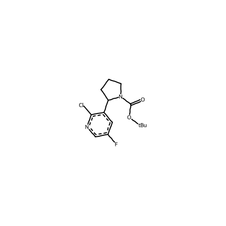 CC(C)(C)OC(=O)N1CCCC1c1cc(F)cnc1Cl